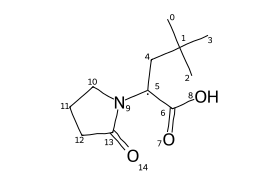 CC(C)(C)C[C](C(=O)O)N1CCCC1=O